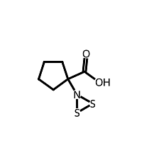 O=C(O)C1(n2ss2)CCCC1